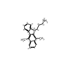 Cc1c2cnccc2c(C)c2c1c1ccccc1n2CCCN